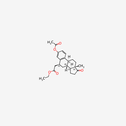 CCOC(=O)C[C@@H]1C[C@@H]2[C@H](CC[C@]3(C)C(=O)CC[C@@H]23)c2ccc(OC(C)=O)cc21